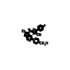 CCn1nc2cnc(N3CCN(C(=O)O)CC3)cc2c1N(C)c1nc(-c2ccc(F)cc2)c(C#N)s1